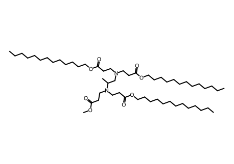 CCCCCCCCCCCCCOC(=O)CCN(CCC(=O)OCCCCCCCCCCCCC)CC(C)N(CCC(=O)OC)CCC(=O)OCCCCCCCCCCCCC